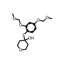 COCOc1ccc(SC2(O)CCOCC2)c(OCOC)c1